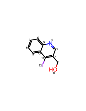 OCc1cnc2ccccc2c1I